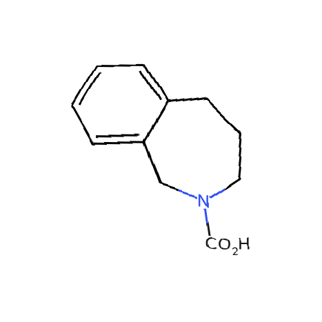 O=C(O)N1CCCc2ccccc2C1